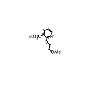 CCOC(=O)c1cccnc1OCCOC